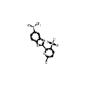 CCS(=O)(=O)c1ccc(Cl)nc1-c1nc2cc([S+]([O-])C(F)(F)F)ccc2o1